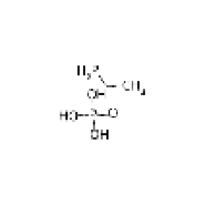 CCP.O=P(O)(O)O